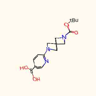 CC(C)(C)OC(=O)N1CC2(C1)CN(c1ccc(B(O)O)cn1)C2